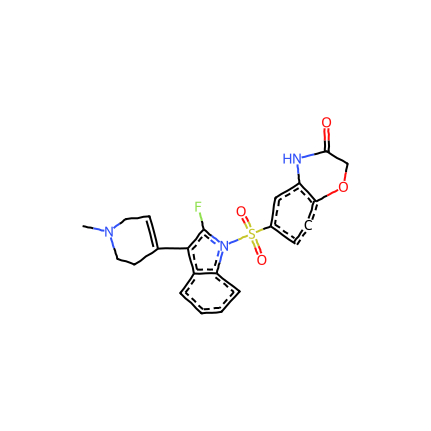 CN1CC=C(c2c(F)n(S(=O)(=O)c3ccc4c(c3)NC(=O)CO4)c3ccccc23)CC1